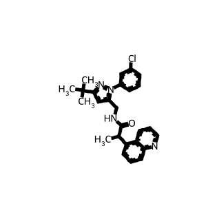 CC(C(=O)NCc1cc(C(C)(C)C)nn1-c1cccc(Cl)c1)c1cccc2ncccc12